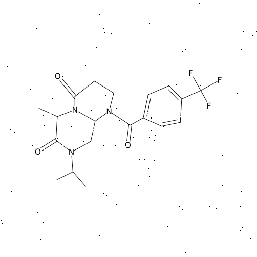 CC(C)N1CC2N(C(=O)c3ccc(C(F)(F)F)cc3)CCC(=O)N2C(C)C1=O